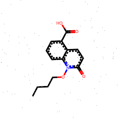 CCCCOn1c(=O)ccc2c(C(=O)O)cccc21